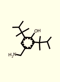 CC(C)C(C)(C)c1cc(CN)cc(C(C)(C)C(C)C)c1O